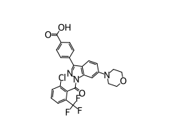 O=C(O)c1ccc(-c2nn(C(=O)c3c(Cl)cccc3C(F)(F)F)c3cc(N4CCOCC4)ccc23)cc1